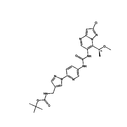 CO[C@@H](C)c1c(NC(=O)Nc2ccc(-n3cc(CNC(=O)OC(C)(C)C)cn3)nc2)cnc2cc(Cl)nn12